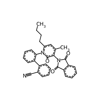 CCCCc1cc(C)c(N2C(=O)c3ccccc3C2=O)c(=O)n1-c1ccccc1-c1ccccc1C#N